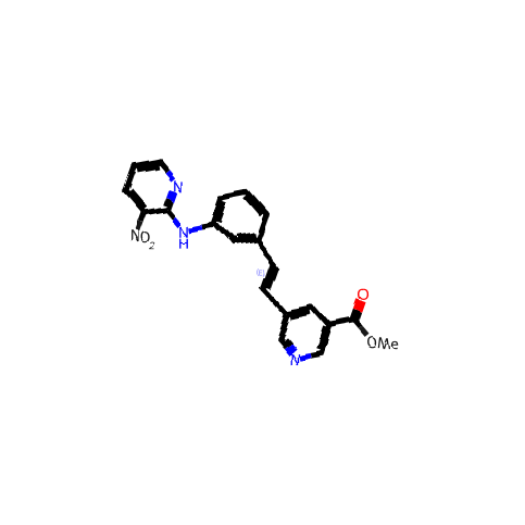 COC(=O)c1cncc(/C=C/c2cccc(Nc3ncccc3[N+](=O)[O-])c2)c1